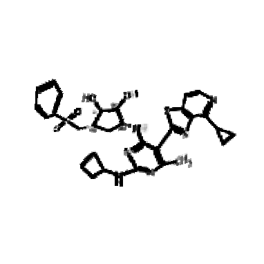 Cc1nc(NC2CCC2)nc(N[C@@H]2C[C@H](CS(=O)(=O)c3ccccc3)[C@@H](O)[C@H]2O)c1-c1nc2c(C3CC3)nccc2s1